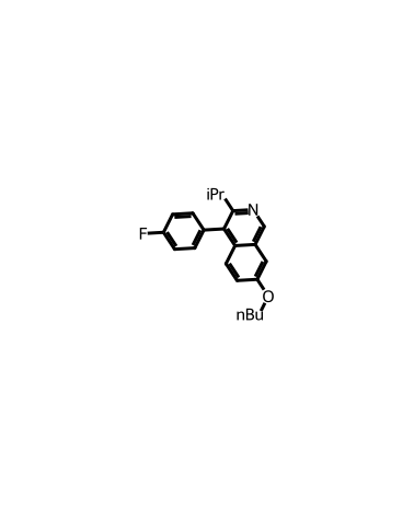 CCCCOc1ccc2c(-c3ccc(F)cc3)c(C(C)C)ncc2c1